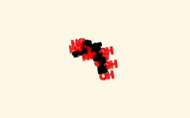 CC(C)=CCc1c(O)ccc(C(=O)[C@H]2[C@@H](c3c(O)cc4oc(-c5ccc(O)cc5O)cc(=O)c4c3O)C=C(C)C[C@@H]2c2ccc(O)cc2O)c1O